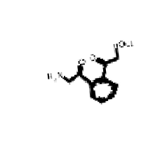 CCCCCCCCCC(=O)c1ccccc1C(=O)CN